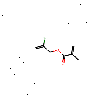 C=C(Br)COC(=O)C(=C)C